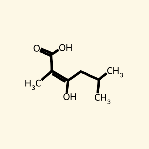 CC(C(=O)O)=C(O)CC(C)C